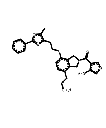 COc1cscc1C(=O)N1Cc2c(CCC(=O)O)ccc(OCCc3nc(-c4ccccc4)oc3C)c2C1